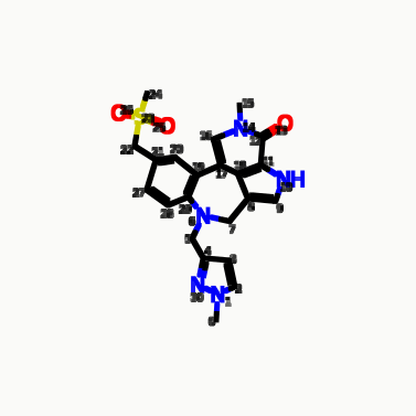 Cn1ccc(CN2Cc3c[nH]c4c(=O)n(C)cc(c34)-c3cc(CS(C)(=O)=O)ccc32)n1